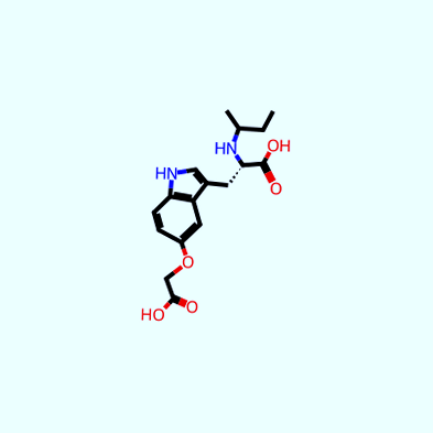 CCC(C)N[C@@H](Cc1c[nH]c2ccc(OCC(=O)O)cc12)C(=O)O